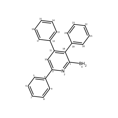 Bc1nc(-c2ccccc2)cc(-c2ccccc2)c1-c1ccccc1